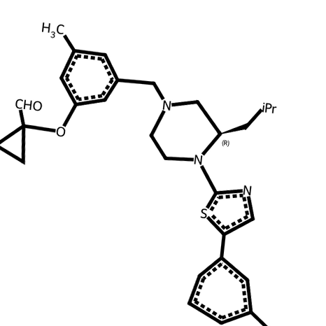 Cc1cc(CN2CCN(c3ncc(-c4cccc(F)c4)s3)[C@H](CC(C)C)C2)cc(OC2(C=O)CC2)c1